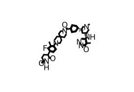 Cc1c(N2CCC3(CCN(C(=O)c4ccc([C@H]5C[C@@H](Nc6cnn(C)c(=O)c6C)CN(C)C5)cc4)CC3)CC2)ccc(C2CCC(=O)NC2=O)c1F